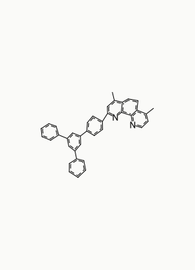 Cc1ccnc2c1ccc1c(C)cc(-c3ccc(-c4cc(-c5ccccc5)cc(-c5ccccc5)c4)cc3)nc12